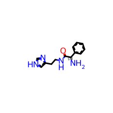 N[C@H](C(=O)NCCc1c[nH]cn1)c1ccccc1